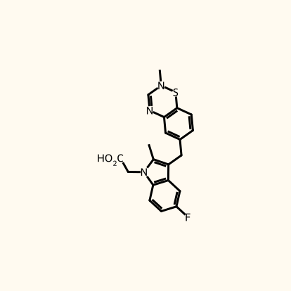 Cc1c(Cc2ccc3c(c2)N=CN(C)S3)c2cc(F)ccc2n1CC(=O)O